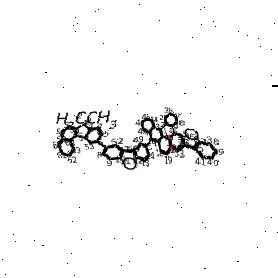 CC1(C)c2ccc(-c3ccc4oc5ccc(-c6c7ccccc7c(-c7ccccc7-c7cccc8c7oc7ccccc78)c7ccccc67)cc5c4c3)cc2-c2c1ccc1ccccc21